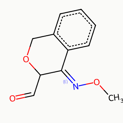 CO/N=C1\c2ccccc2COC1C=O